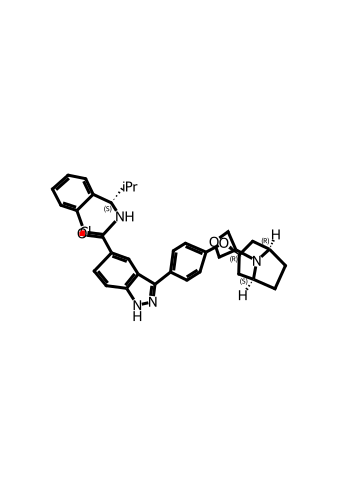 CC(C)[C@H](NC(=O)c1ccc2[nH]nc(-c3ccc(O[C@H]4C[C@H]5CC[C@@H](C4)N5C4COC4)cc3)c2c1)c1ccccc1Cl